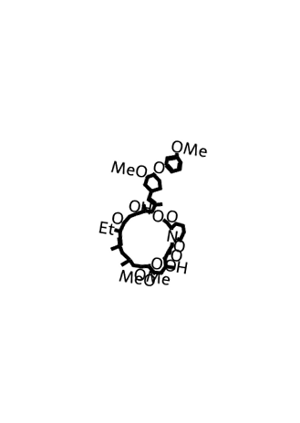 CCC1/C=C(\C)CC(C)CC(OC)C2OC(O)(C(=O)C(=O)N3CCCCC3C(=O)OC(C(C)=CC3CCC(Oc4cccc(OC)c4)C(OC)C3)C(C)C(O)CC1=O)C(C)CC2OC